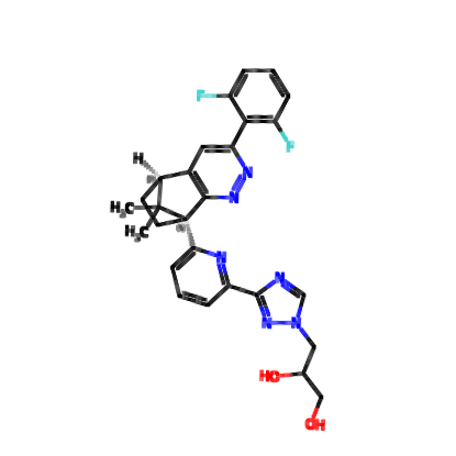 CC1(C)[C@H]2CC[C@]1(c1cccc(-c3ncn(CC(O)CO)n3)n1)c1nnc(-c3c(F)cccc3F)cc12